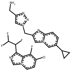 Fc1c(Cl)ccn2cnc(C(F)C(F)F)c12.NCc1cn(Cc2cn3cc(C4CC4)ccc3n2)nn1